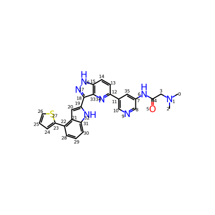 CN(C)CC(=O)Nc1cncc(-c2ccc3[nH]nc(-c4cc5c(-c6cccs6)cccc5[nH]4)c3n2)c1